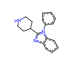 c1ccc(-n2c(C3CCNCC3)nc3ccccc32)cc1